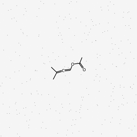 CC(=O)OC=C=C(C)C